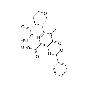 COC(=O)c1nc(C2COCCN2C(=O)OC(C)(C)C)n(C)c(=O)c1OC(=O)c1ccccc1